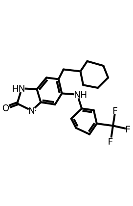 O=C1[N]c2cc(Nc3cccc(C(F)(F)F)c3)c(CC3CCCCC3)cc2N1